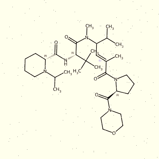 C/C(=C\C(C(C)C)N(C)C(=O)[C@@H](NC(=O)[C@H]1CCCCN1C(C)C)C(C)(C)C)C(=O)N1CCC[C@H]1C(=O)N1CCOCC1